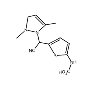 CC1=CCN(C)N1C(C#N)c1ccc(NC(=O)O)s1